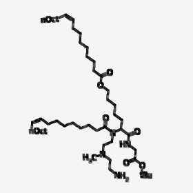 CCCCCCCC/C=C\CCCCCCCC(=O)OCCCCCC(C(=O)NCC(=O)OC(C)(C)C)N(CCN(C)CCN)C(=O)CCCCCCC/C=C\CCCCCCCC